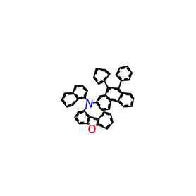 c1ccc(-c2c(-c3ccccc3)c3cc(N(c4cccc5ccccc45)c4cccc5oc6ccccc6c45)ccc3c3ccccc23)cc1